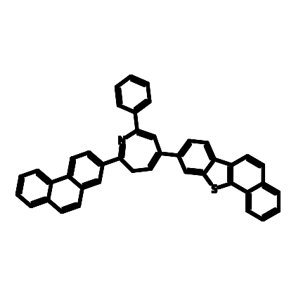 C1=C(c2ccc3c(c2)sc2c4ccccc4ccc32)C=C(c2ccccc2)N=C(c2ccc3c(ccc4ccccc43)c2)C1